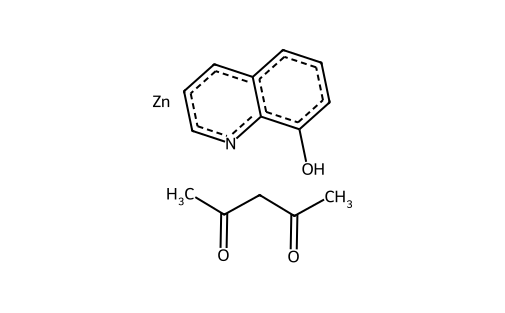 CC(=O)CC(C)=O.Oc1cccc2cccnc12.[Zn]